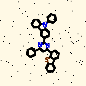 c1ccc(-c2cc(-c3cccc4c3sc3ccccc34)nc(-c3ccc4c(c3)c3ccccc3n4-c3ccccc3)n2)cc1